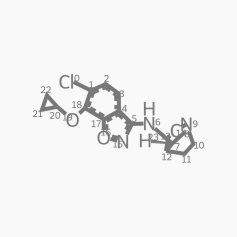 Clc1ccc2c(N[C@@H]3CN4CCC3CC4)noc2c1OC1CC1